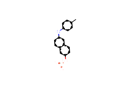 Cc1ccc(Nc2ccc3cc(O[SH](=O)=O)ccc3c2)cc1